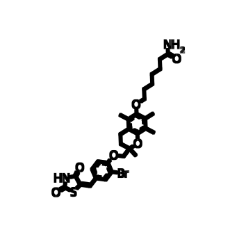 Cc1c(C)c2c(c(C)c1OCCCCCCC(N)=O)CCC(C)(COc1ccc(/C=C3/SC(=O)NC3=O)cc1Br)O2